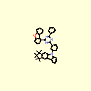 CC1(C)c2cc3c4ccccc4n(-c4cccc(-c5nc(-c6ccccc6)nc(-c6cccc7oc8ccccc8c67)n5)c4)c3cc2C(C)(C)C1(C)C